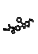 CC(C)(C)OC(=O)NC1(c2ccc(-c3oc4ncc([N+](=O)[O-])cc4c3-c3ccccc3)cc2)CCC1